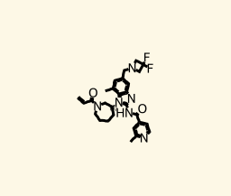 C=CC(=O)N1CCCC[C@@H](n2c(NC(=O)c3ccnc(C)c3)nc3cc(CN4CC(F)(F)C4)cc(C)c32)C1